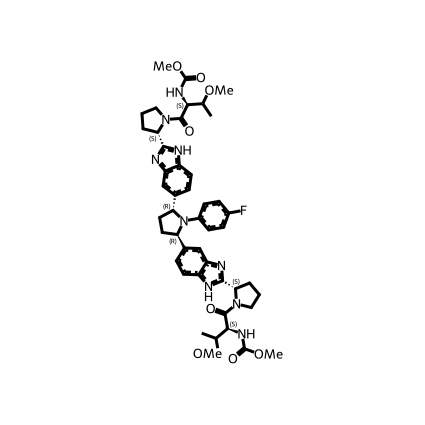 COC(=O)N[C@H](C(=O)N1CCC[C@H]1c1nc2cc([C@H]3CC[C@H](c4ccc5[nH]c([C@@H]6CCCN6C(=O)[C@@H](NC(=O)OC)C(C)OC)nc5c4)N3c3ccc(F)cc3)ccc2[nH]1)C(C)OC